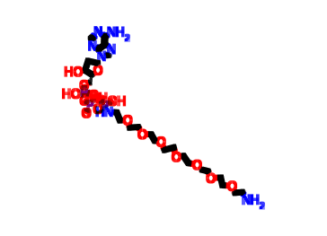 NCCOCCOCCOCCOCCOCCOCCOCCNP(=O)(O)OP(=O)(O)OP(=O)(O)OC[C@H]1O[C@@H](n2cnc3c(N)ncnc32)CC1O